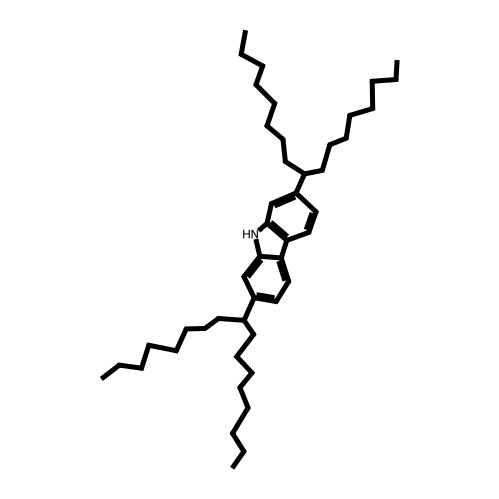 CCCCCCCCC(CCCCCCCC)c1ccc2c(c1)[nH]c1cc(C(CCCCCCCC)CCCCCCCC)ccc12